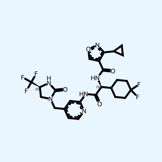 O=C(N[C@H](C(=O)Nc1cc(CN2C[C@@H](C(F)(F)F)NC2=O)ccn1)C1CCC(F)(F)CC1)c1conc1C1CC1